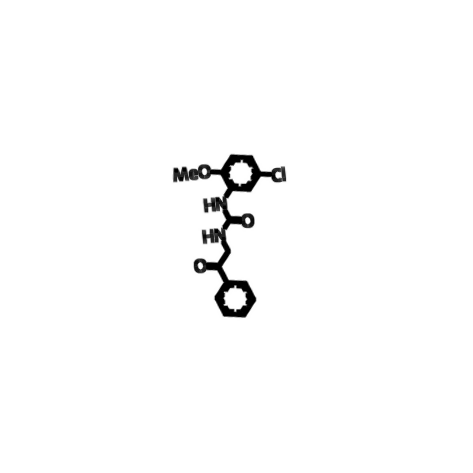 COc1ccc(Cl)cc1NC(=O)NCC(=O)c1ccccc1